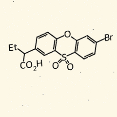 CCC(C(=O)O)c1ccc2c(c1)S(=O)(=O)c1ccc(Br)cc1O2